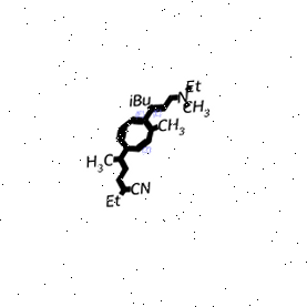 CCC(C#N)CCC(C)C1C#C/C=C(/C(=C/CN(C)CC)C(C)CC)C(C)/C=C\1